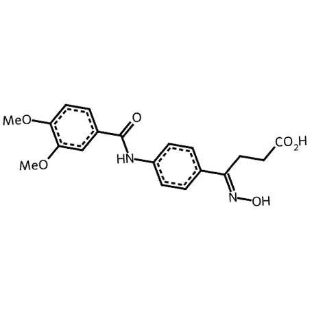 COc1ccc(C(=O)Nc2ccc(/C(CCC(=O)O)=N/O)cc2)cc1OC